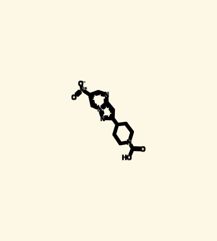 O=C(O)N1CCC(c2cc3ncc([N+](=O)[O-])cn3n2)CC1